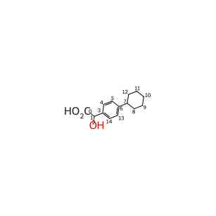 O=C(O)C(O)c1ccc(C2CCCCC2)cc1